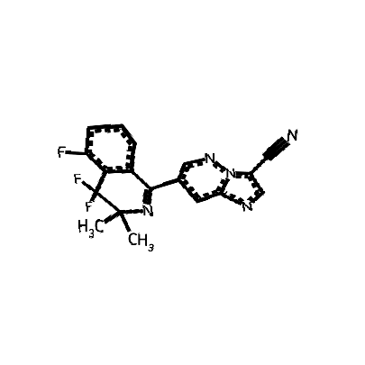 CC1(C)N=C(c2cnn3c(C#N)cnc3c2)c2cccc(F)c2C1(F)F